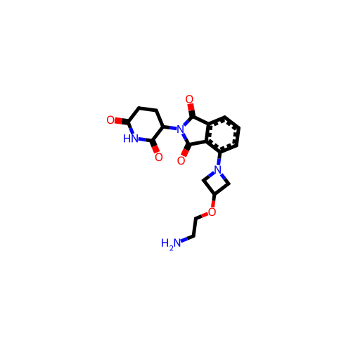 NCCOC1CN(c2cccc3c2C(=O)N(C2CCC(=O)NC2=O)C3=O)C1